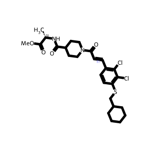 COC(=O)[C@H](C)NC(=O)C1CCN(C(=O)/C=C/c2ccc(SCC3CCCCC3)c(Cl)c2Cl)CC1